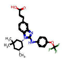 C[C@H]1C[C@@H](n2c(Nc3ccc(OC(F)(F)F)cc3)nc3cc(/C=C/C(=O)O)ccc32)CC(C)(C)C1